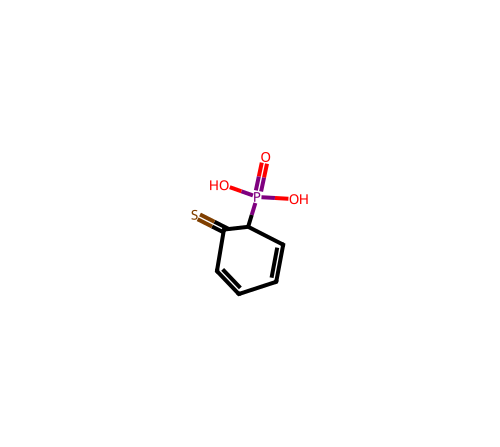 O=P(O)(O)C1C=CC=CC1=S